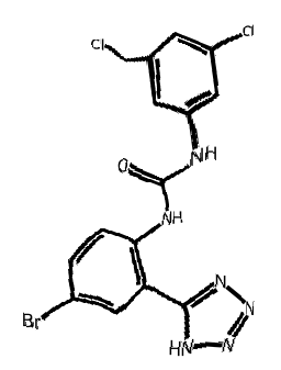 O=C(Nc1cc(Cl)cc(Cl)c1)Nc1ccc(Br)cc1-c1nnn[nH]1